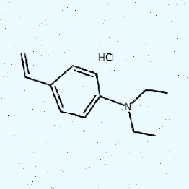 C=Cc1ccc(N(CC)CC)cc1.Cl